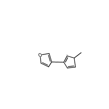 CC1[C]=C(c2ccoc2)C=C1